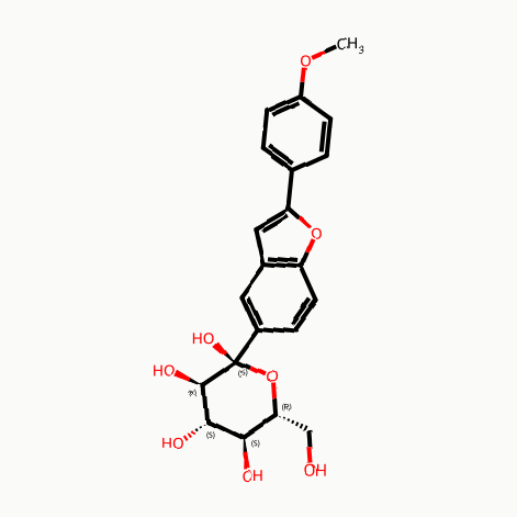 COc1ccc(-c2cc3cc([C@]4(O)O[C@H](CO)[C@@H](O)[C@H](O)[C@H]4O)ccc3o2)cc1